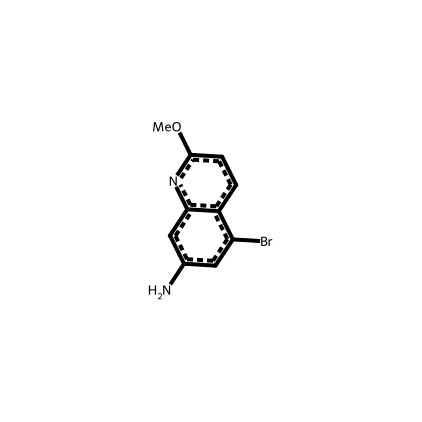 COc1ccc2c(Br)cc(N)cc2n1